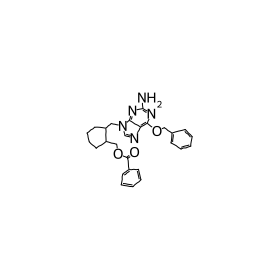 Nc1nc(OCc2ccccc2)c2ncn(CC3CCCCC3COC(=O)c3ccccc3)c2n1